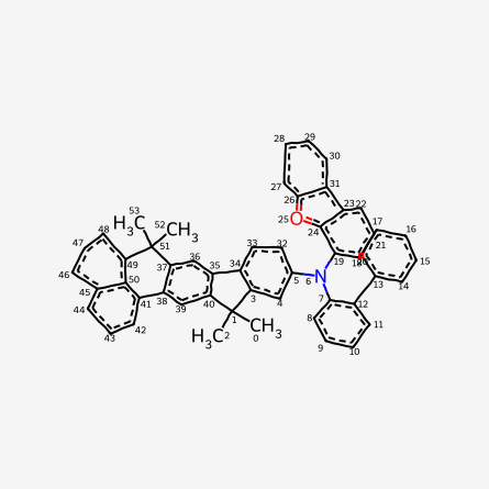 CC1(C)c2cc(N(c3ccccc3-c3ccccc3)c3cccc4c3oc3ccccc34)ccc2-c2cc3c(cc21)-c1cccc2cccc(c12)C3(C)C